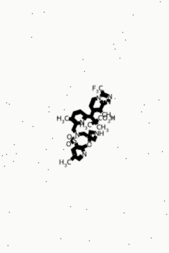 Cc1cnc2c(c1)S(=O)(=O)N(Cc1nc(C(c3ccn4c(C(F)(F)F)nnc4c3C)C(C)(C)C(=O)O)ccc1C)CC1(CNC1)O2